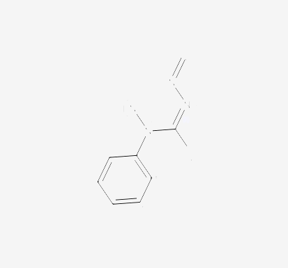 C=N/N=C(/Cl)N(N)c1ccccc1